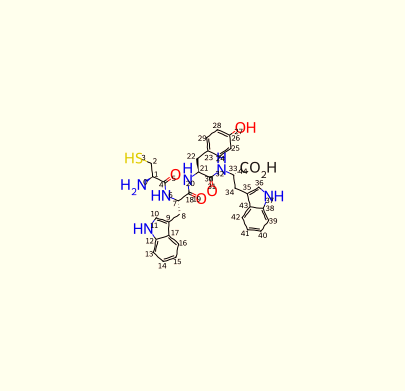 N[C@@H](CS)C(=O)N[C@@H](Cc1c[nH]c2ccccc12)C(=O)N[C@@H](Cc1ccc(O)cc1)C(=O)N[C@@H](Cc1c[nH]c2ccccc12)C(=O)O